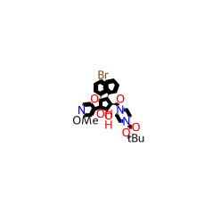 COc1cncc2c1[C@]1(O)[C@H](O)[C@H](C(=O)N3CCN(C(=O)OC(C)(C)C)CC3)[C@@H](c3ccccc3)[C@]1(c1ccc(Br)cc1)O2